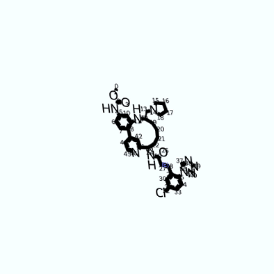 COC(=O)Nc1ccc2c(c1)N[C@@H](CN1CCCC1)CCCC[C@H](NC(=O)/C=C/c1cc(Cl)ccc1-n1cnnn1)c1cc-2ccn1